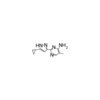 Cc1cnc(-c2cc(C3CC3)[nH]n2)nc1N